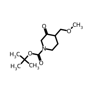 COCC1CCN(C(=O)OC(C)(C)C)CC1=O